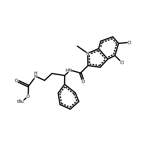 Cn1c(C(=O)NC(CCNC(=O)OC(C)(C)C)c2ccccc2)cc2c(Cl)c(Cl)ccc21